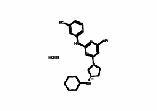 CCCc1cc(N2CC[C@H](NC3CCCCC3)C2)nc(Nc2cccc(C#N)c2)n1.Cl.Cl